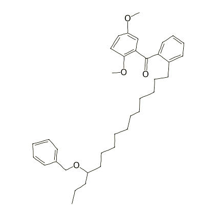 CCCC(CCCCCCCCCCCc1ccccc1C(=O)c1cc(OC)ccc1OC)OCc1ccccc1